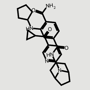 NC(=O)c1ccc(C(=O)NC2CC3CCC(C2)N3c2ccc(C(=O)C3CC3)cn2)cc1NC1CCCC1